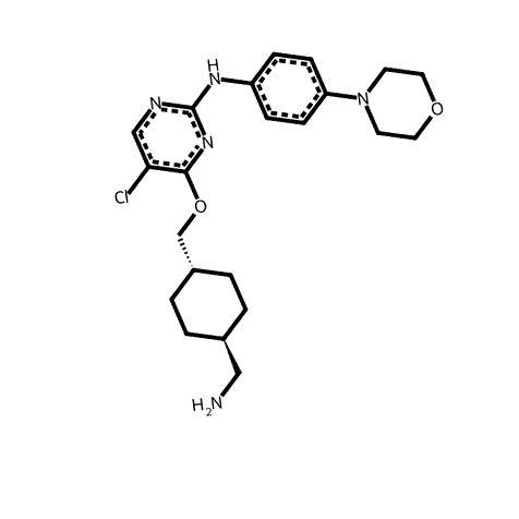 NC[C@H]1CC[C@H](COc2nc(Nc3ccc(N4CCOCC4)cc3)ncc2Cl)CC1